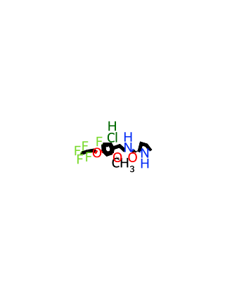 COc1cc(OCC(F)(F)C(F)F)c(F)cc1CCNC(=O)[C@@H]1CCCN1.Cl